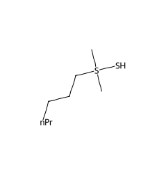 CCCCCCS(C)(C)S